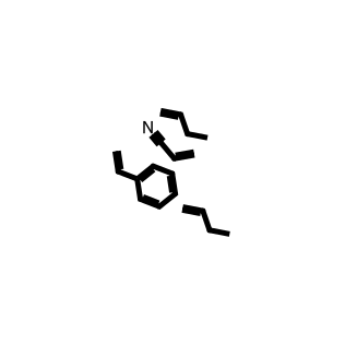 C=CC#N.C=CCC.C=CCC.C=Cc1ccccc1